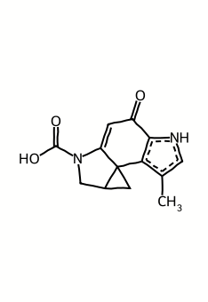 Cc1c[nH]c2c1C13CC1CN(C(=O)O)C3=CC2=O